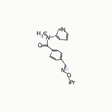 CC(C)O/N=C/c1ccc(C(=O)N(C)c2cccnc2)cc1